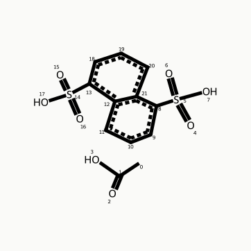 CC(=O)O.O=S(=O)(O)c1cccc2c(S(=O)(=O)O)cccc12